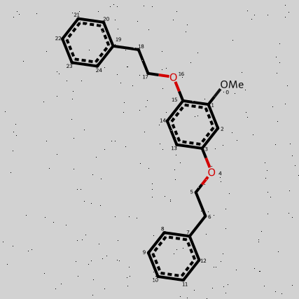 COc1cc(OCCc2ccccc2)ccc1OCCc1ccccc1